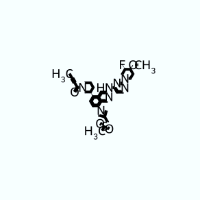 CC#CC(=O)N1CCC[C@H](c2ccc(N3CC(CS(C)(=O)=O)C3)c3cnc(Nc4ccnc(N5CC[C@@H](OC)[C@@H](F)C5)n4)cc23)C1